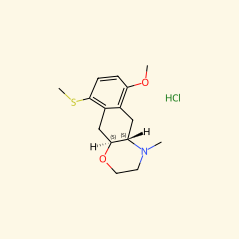 COc1ccc(SC)c2c1C[C@H]1[C@H](C2)OCCN1C.Cl